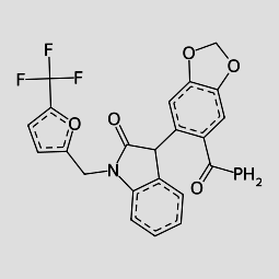 O=C(P)c1cc2c(cc1C1C(=O)N(Cc3ccc(C(F)(F)F)o3)c3ccccc31)OCO2